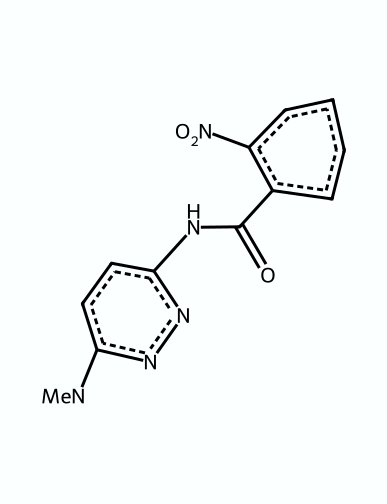 CNc1ccc(NC(=O)c2ccccc2[N+](=O)[O-])nn1